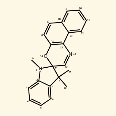 CN1c2ccccc2C(C)(C)C12C=Nc1c(ccc3ccccc13)O2